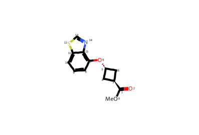 COC(=O)[C@H]1C[C@H](Oc2cccc3scnc23)C1